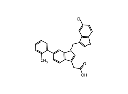 Cc1ccccc1-c1ccc2c(CC(=O)O)cn(Cc3csc4ccc(Cl)cc34)c2c1